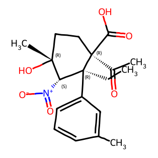 CC[C@]1(c2cccc(C)c2)[C@H]([N+](=O)[O-])[C@](C)(O)CC[C@@]1(C(C)=O)C(=O)O